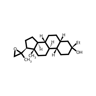 CC[C@@]1(O)CC[C@H]2[C@H](CC[C@@H]3[C@@H]2CC[C@]2(C)[C@@H](C4(C)CO4)CC[C@@H]32)C1